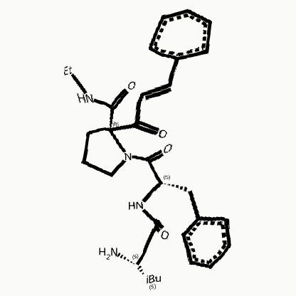 CCNC(=O)[C@]1(C(=O)C=Cc2ccccc2)CCCN1C(=O)[C@H](Cc1ccccc1)NC(=O)[C@@H](N)[C@@H](C)CC